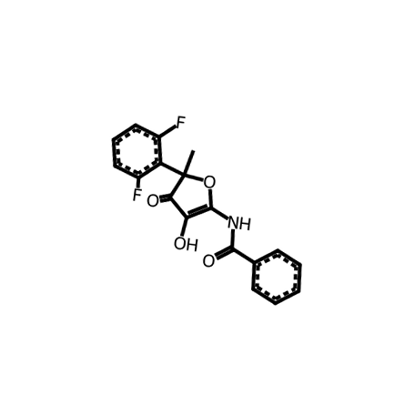 CC1(c2c(F)cccc2F)OC(NC(=O)c2ccccc2)=C(O)C1=O